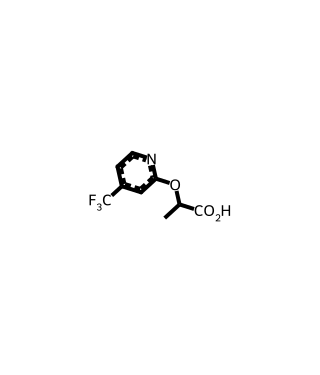 CC(Oc1cc(C(F)(F)F)ccn1)C(=O)O